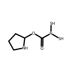 O=C(OC1CCCN1)N(S)S